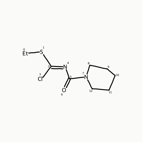 CCSC(Cl)=NC(=O)N1CCCCC1